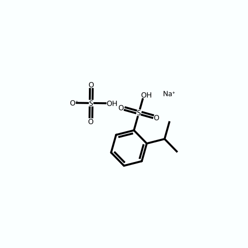 CC(C)c1ccccc1S(=O)(=O)O.O=S(=O)([O-])O.[Na+]